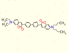 CCCCN(CCCC)c1ccc2cc(-c3ccc(-c4ccc(-c5cc6ccc(N(CC)CC)cc6oc5=O)cc4)cc3)c(=O)oc2c1